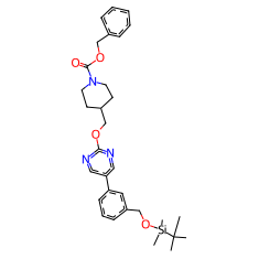 CC(C)(C)[Si](C)(C)OCc1cccc(-c2cnc(OCC3CCN(C(=O)OCc4ccccc4)CC3)nc2)c1